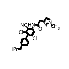 CC(C)Cc1ccc(-c2c(Cl)cc(NC(=O)Cc3ccn(C)n3)c(C#N)c2Cl)cc1